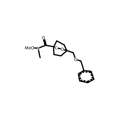 CON(C)C(=O)C12CCC(COCc3ccccc3)(CC1)OC2